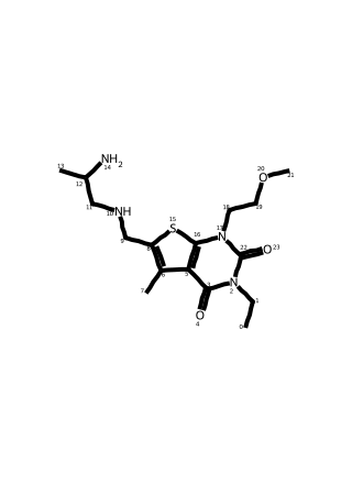 CCn1c(=O)c2c(C)c(CNCC(C)N)sc2n(CCOC)c1=O